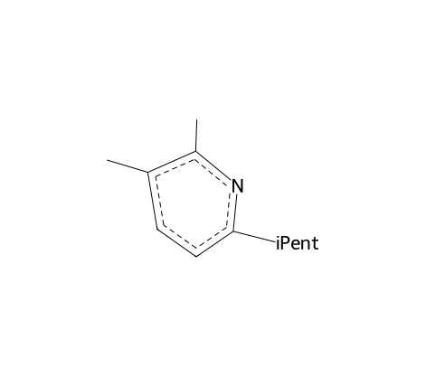 CCCC(C)c1ccc(C)c(C)n1